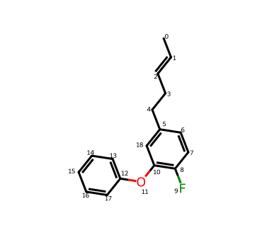 CC=CCCc1ccc(F)c(Oc2ccccc2)c1